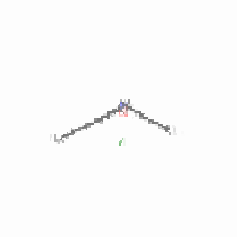 CCCCCCCCCCCCCCCCCCC(O)C[N+](C)(C)CC(O)CCCCCCCCCCCCCCCCCC.[Cl-]